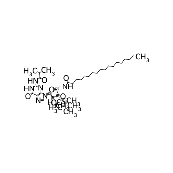 CCCCCCCCCCCCCCCCCC(=O)NC[C@H]1O[C@@H](n2cnc3c(=O)[nH]c(NC(=O)C(C)C)nc32)[C@H](OC)[C@@H]1O[Si](C)(C)C(C)(C)C